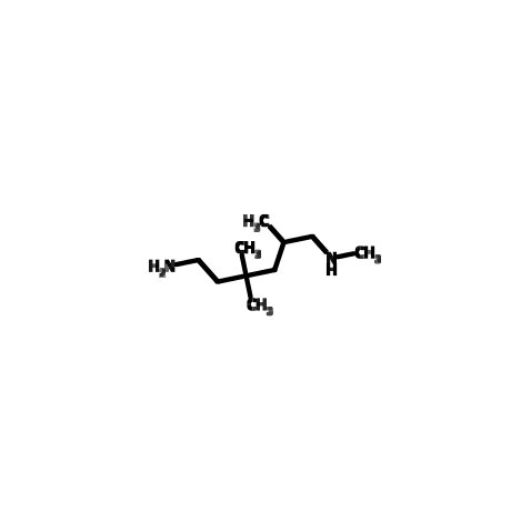 CNCC(C)CC(C)(C)CCN